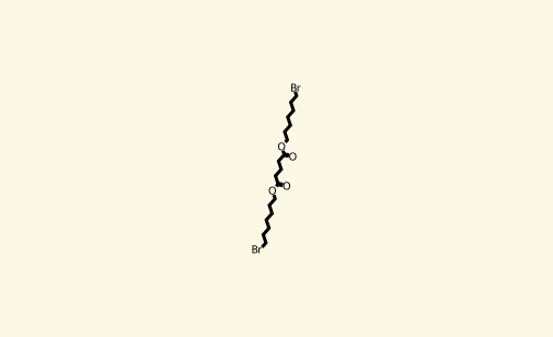 O=C(CCCC(=O)OCCCCCCCBr)OCCCCCCCBr